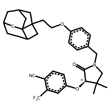 CC1(C)CN(Cc2ccc(OCCC34CC5CC6CC(C3)C4(C6)C5)cc2)C(=O)[C@@H]1Oc1ccc(C#N)c(C(F)(F)F)c1